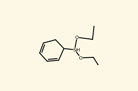 CCO[SiH](OCC)C1C=CC=CC1